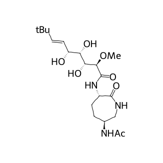 CO[C@@H](C(=O)N[C@H]1CC[C@H](NC(C)=O)CNC1=O)[C@H](O)[C@@H](O)[C@H](O)/C=C/C(C)(C)C